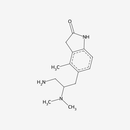 Cc1c(CC(CN)N(C)C)ccc2c1CC(=O)N2